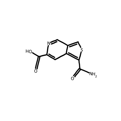 NC(=O)c1scc2cnc(C(=O)O)cc12